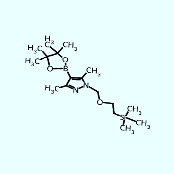 Cc1nn(COCC[Si](C)(C)C)c(C)c1B1OC(C)(C)C(C)(C)O1